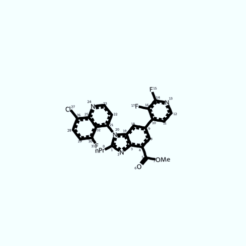 CCCc1nc2c(C(=O)OC)cc(-c3ccnc(F)c3F)cc2n1-c1ccnc2c(Cl)ccc(F)c12